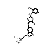 CN(C)CCn1nnc2ccc(C=C3SC(Nc4ccccc4Cl)=NC3=O)cc21